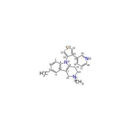 Cc1ccc2c(c1)c1c(n2-c2cscc2-c2cccnc2)CCN(C)C1